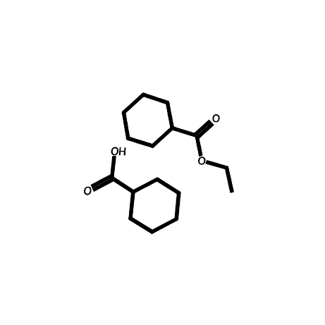 CCOC(=O)C1CCCCC1.O=C(O)C1CCCCC1